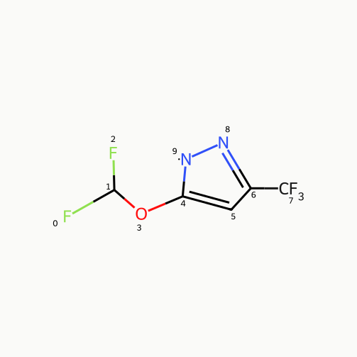 FC(F)OC1=CC(C(F)(F)F)=N[N]1